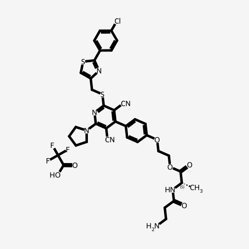 C[C@H](NC(=O)CCN)C(=O)OCCOc1ccc(-c2c(C#N)c(SCc3csc(-c4ccc(Cl)cc4)n3)nc(N3CCCC3)c2C#N)cc1.O=C(O)C(F)(F)F